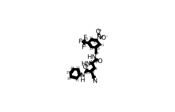 N#C/C(=C/C(=N)C(=O)NCc1cc([N+](=O)[O-])cc(C(F)(F)F)c1)C(=O)Nc1ccccc1